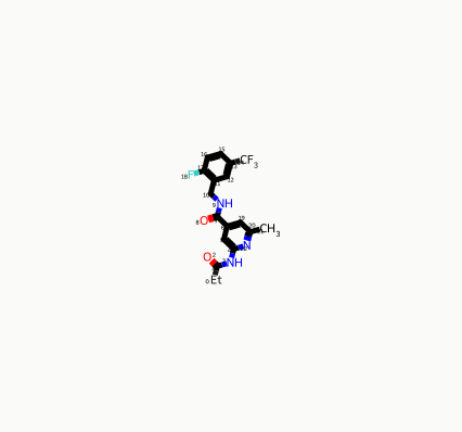 CCC(=O)Nc1cc(C(=O)NCc2cc(C(F)(F)F)ccc2F)cc(C)n1